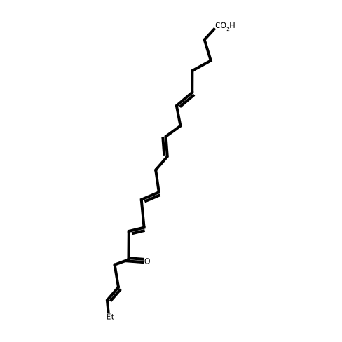 CCC=CCC(=O)C=CC=CCC=CCC=CCCCC(=O)O